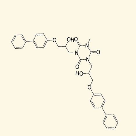 Cn1c(=O)n(CC(O)COc2ccc(-c3ccccc3)cc2)c(=O)n(CC(O)COc2ccc(-c3ccccc3)cc2)c1=O